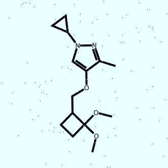 COC1(OC)CCC1COc1cn(C2CC2)nc1C